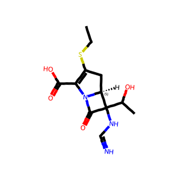 CCSC1=C(C(=O)O)N2C(=O)C(NC=N)(C(C)O)[C@@H]2C1